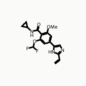 C=Cc1ncc(-c2cc(OC)c(C(=O)NC3CC3)c(OC(F)F)c2)[nH]1